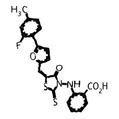 Cc1ccc(-c2ccc(/C=C3/SC(=S)N(Nc4ccccc4C(=O)O)C3=O)o2)c(F)c1